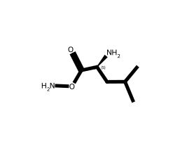 CC(C)C[C@H](N)C(=O)ON